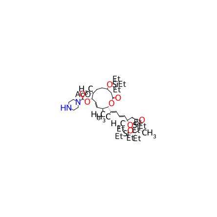 CC[C@H](O[Si](CC)(CC)CC)[C@@H](C)[C@H]1O[C@@H]1C[C@](C)(/C=C/C=C(\C)[C@H]1OC(=O)C[C@H](O[Si](CC)(CC)CC)CC[C@@](C)(OC(C)=O)[C@@H](OC(=O)N2CCNCC2)/C=C/[C@@H]1C)O[Si](CC)(CC)CC